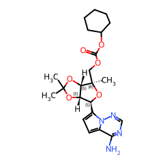 CC1(C)O[C@H]2[C@H](c3ccc4c(N)ncnn34)O[C@](C)(COC(=O)OC3CCCCC3)[C@H]2O1